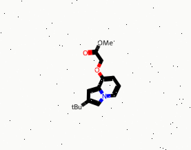 COC(=O)COc1cccn2cc(C(C)(C)C)cc12